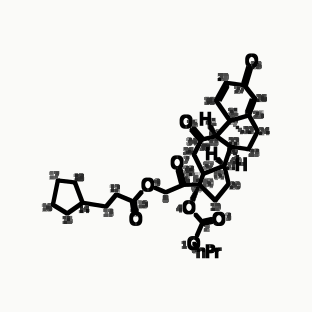 CCCOC(=O)O[C@]1(C(=O)COC(=O)CCC2CCCC2)CC[C@H]2[C@@H]3CCC4=CC(=O)C=C[C@]4(C)[C@H]3C(=O)C[C@@]21C